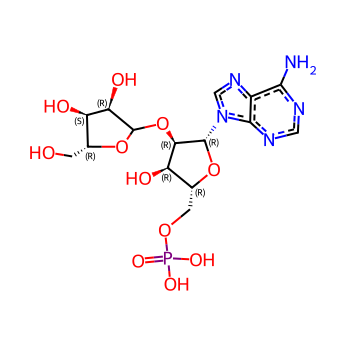 Nc1ncnc2c1ncn2[C@@H]1O[C@H](COP(=O)(O)O)[C@@H](O)[C@H]1OC1O[C@H](CO)[C@@H](O)[C@H]1O